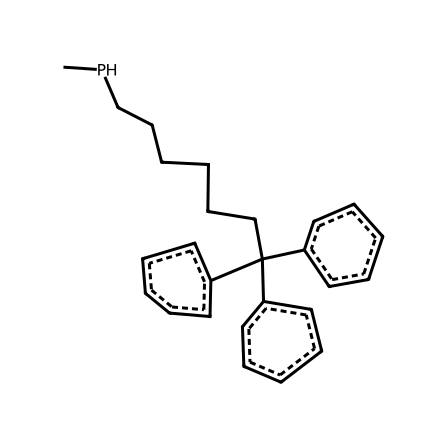 CPCCCCCCC(c1ccccc1)(c1ccccc1)c1ccccc1